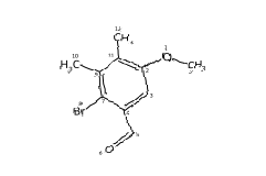 COc1cc(C=O)c(Br)c(C)c1C